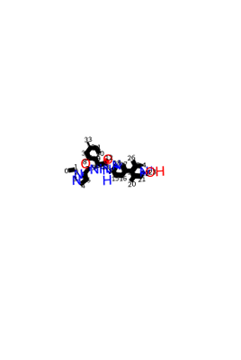 CCn1nccc1C(=O)N[C@H](C(=O)Nc1ccc(-c2c(C)c[n+](O)cc2C)cn1)[C@H]1CC[C@H](C)CC1